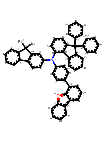 CCC1(CC)c2ccccc2-c2ccc(N(c3ccc(-c4cccc5c4oc4ccccc45)cc3)c3cccc4c3-c3ccccc3C4(c3ccccc3)c3ccccc3)cc21